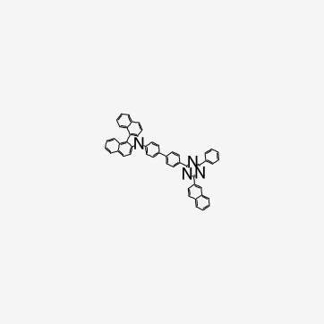 c1ccc(-c2nc(-c3ccc(-c4ccc(-n5c6ccc7ccccc7c6c6c7ccccc7ccc65)cc4)cc3)nc(-c3ccc4ccccc4c3)n2)cc1